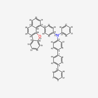 c1ccc(-c2ccc(-c3ccc(N(c4ccccc4)c4ccc(-c5cccc6ccc7c8ccccc8oc7c56)cc4)cc3)cc2)cc1